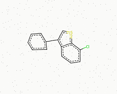 Clc1cccc2c(-c3ccccc3)csc12